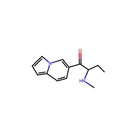 CCC(NC)C(=O)c1ccc2cccn2c1